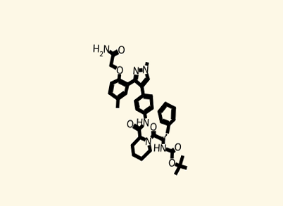 Cc1ccc(OCC(N)=O)c(-c2nn(C)cc2-c2ccc(NC(=O)C3CCCCN3C(=O)[C@H](Cc3ccccc3)NC(=O)OC(C)(C)C)cc2)c1